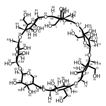 OCC1O[C@@H]2O[C@@H]3C(CO)O[C@H](O[C@@H]4C(CO)O[C@H](O[C@@H]5C(CO)O[C@H](O[C@]6(O)CO[C@H](O[C@]7(O)CO[C@H](O[C@@H]8C(CO)O[C@H](O[C@H]1C(O)[C@@H]2O)C(O)[C@H]8O)C(O)[C@H]7O)C(O)[C@H]6O)[C@@H](O)C5O)[C@@H](O)C4O)[C@@H](O)C3O